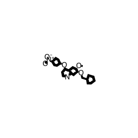 COc1cc2c(Oc3ccc([N+](=O)[O-])cc3)ccnc2cc1OCc1ccccc1